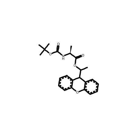 CC(OC(=O)[C@H](C)NC(=O)OC(C)(C)C)C1c2ccccc2Oc2ccccc21